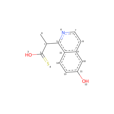 CC(C(O)=S)c1nccc2cc(O)ccc12